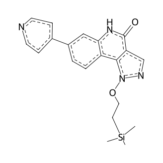 C[Si](C)(C)CCOn1ncc2c(=O)[nH]c3cc(-c4ccncc4)ccc3c21